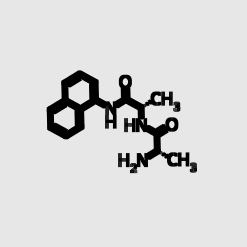 C[C@H](N)C(=O)N[C@@H](C)C(=O)Nc1cccc2ccccc12